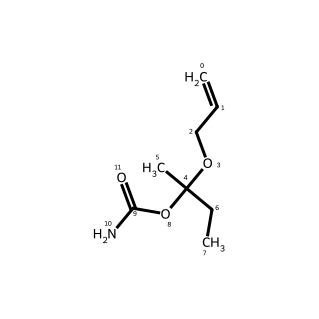 C=CCOC(C)(CC)OC(N)=O